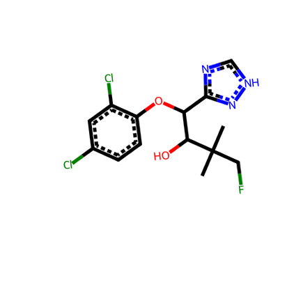 CC(C)(CF)C(O)C(Oc1ccc(Cl)cc1Cl)c1nc[nH]n1